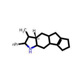 CCCC1NC2CC3C4=C(CCC4)CC3C[C@H]2C1C